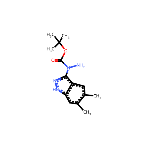 Cc1cc2[nH]nc(N(N)C(=O)OC(C)(C)C)c2cc1C